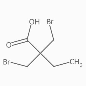 CCC(CBr)(CBr)C(=O)O